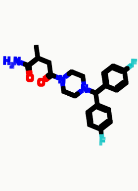 CC(CC(=O)N1CCN(C(c2ccc(F)cc2)c2ccc(F)cc2)CC1)C(N)=O